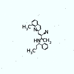 C=C(NC(CCC)c1ccccc1)/C(C#N)=C/c1ccc2cccc(C)c2n1